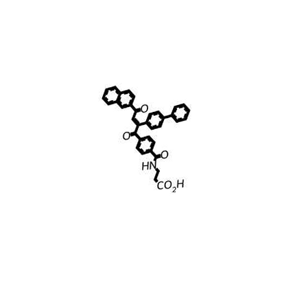 O=C(O)CCNC(=O)c1ccc(C(=O)C(=CC(=O)c2ccc3ccccc3c2)c2ccc(-c3ccccc3)cc2)cc1